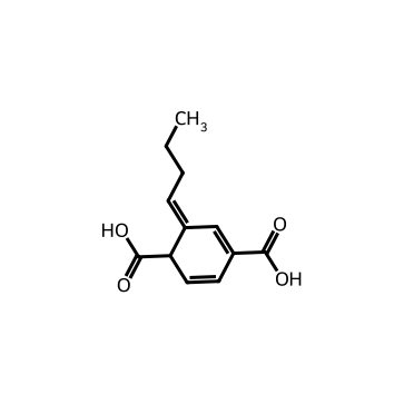 CCCC=C1C=C(C(=O)O)C=CC1C(=O)O